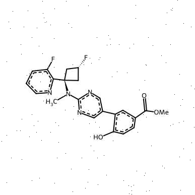 COC(=O)c1ccc(O)c(-c2cnc(N(C)[C@]3(c4ncccc4F)C[C@@H](F)C3)nc2)c1